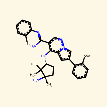 CCc1ccccc1/N=C(\N)c1cnn2cc(-c3ccccc3SC)cc2c1N[C@@H]1CC[C@](C)(N)C1(C)C